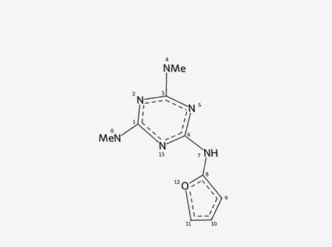 CNc1nc(NC)nc(Nc2ccco2)n1